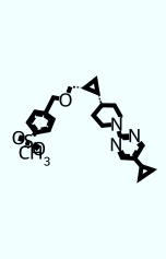 CS(=O)(=O)c1ccc(COC[C@@H]2C[C@@H]2C2CCN(c3ncc(C4CC4)cn3)CC2)cc1